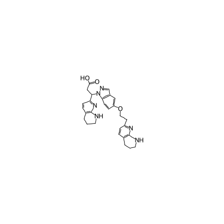 O=C(O)CC(c1ccc2c(n1)NCCC2)n1ncc2cc(OCCc3ccc4c(n3)NCCC4)ccc21